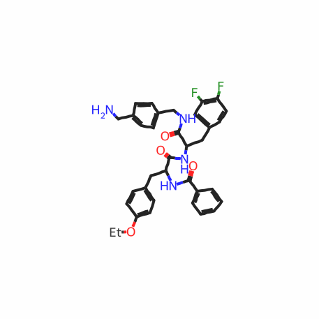 CCOc1ccc(CC(NC(=O)c2ccccc2)C(=O)NC(Cc2ccc(F)c(F)c2)C(=O)NCc2ccc(CN)cc2)cc1